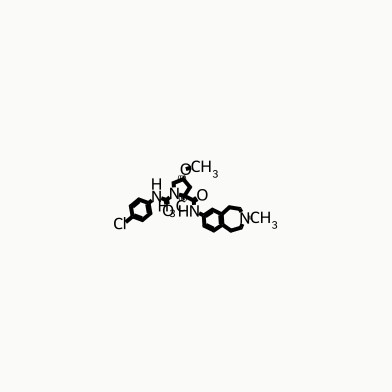 CO[C@H]1CN(C(=O)Nc2ccc(Cl)cc2)[C@@](C)(C(=O)Nc2ccc3c(c2)CCN(C)CC3)C1